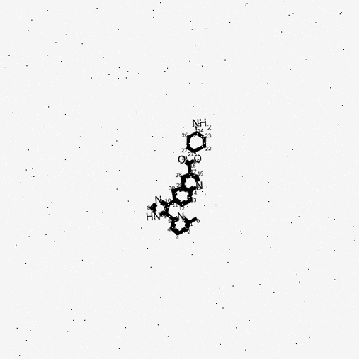 Cc1cccc(-c2[nH]cnc2-c2ccc3ncc(C(=O)O[C@H]4CC[C@@H](N)CC4)cc3c2)n1